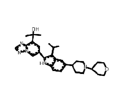 CC(C)c1c(-c2cc(C(C)(C)O)c3ncnn3c2)[nH]c2ccc(C3CCN(C4CCOCC4)CC3)cc12